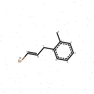 Cc1ccccc1CC=CBr